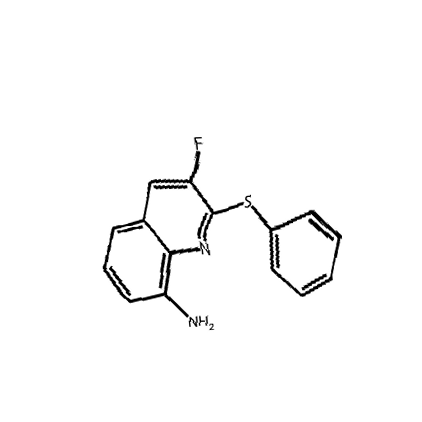 Nc1cccc2cc(F)c(Sc3ccccc3)nc12